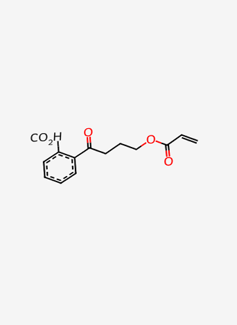 C=CC(=O)OCCCC(=O)c1ccccc1C(=O)O